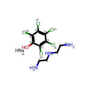 NCCNCCN.Oc1c(Cl)c(Cl)c(Cl)c(Cl)c1Cl.[NaH]